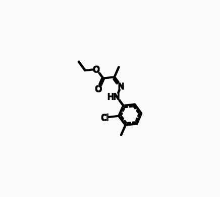 CCOC(=O)/C(C)=N\Nc1cccc(C)c1Cl